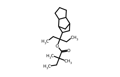 CCC(C)(C)C(=O)OC(CC)(CC)C1CC2CC1C1CCCC21